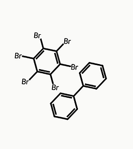 Brc1c(Br)c(Br)c(Br)c(Br)c1Br.c1ccc(-c2ccccc2)cc1